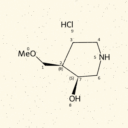 COC[C@H]1CCNC[C@H]1O.Cl